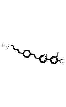 CCCC=CC1CCC(CCc2ccc(-c3ccc(Cl)c(F)c3)nc2)CC1